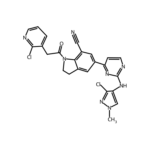 Cn1cc(Nc2nccc(-c3cc(C#N)c4c(c3)CCN4C(=O)Cc3cccnc3Cl)n2)c(Cl)n1